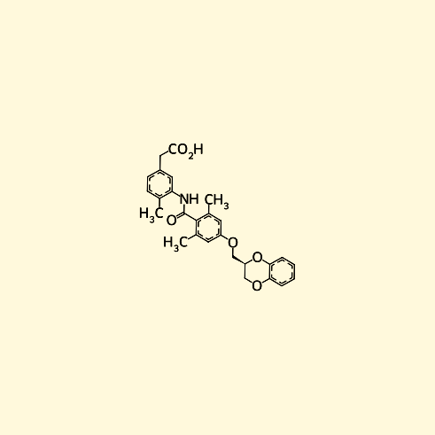 Cc1ccc(CC(=O)O)cc1NC(=O)c1c(C)cc(OC[C@@H]2COc3ccccc3O2)cc1C